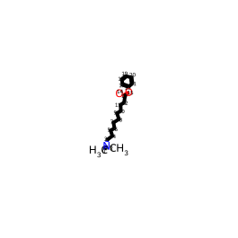 CN(C)CCCCCCCCCCC(=O)Oc1ccccc1